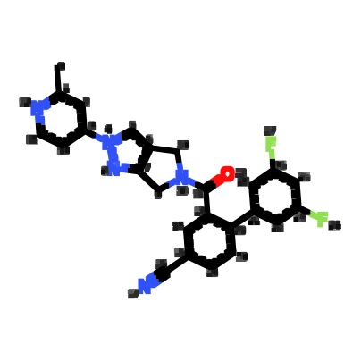 Cc1cc(-n2cc3c(n2)CN(C(=O)c2cc(C#N)ccc2-c2cc(F)cc(F)c2)C3)ccn1